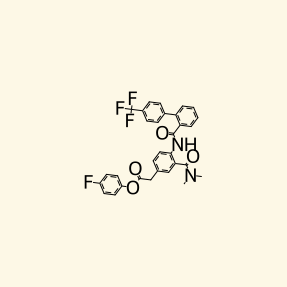 CN(C)C(=O)c1cc(CC(=O)Oc2ccc(F)cc2)ccc1NC(=O)c1ccccc1-c1ccc(C(F)(F)F)cc1